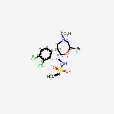 C=CS(=O)(=O)NC[C@H]1OC(C(C)(C)C)CN(C(=O)O)C[C@H]1c1ccc(Cl)c(Cl)c1